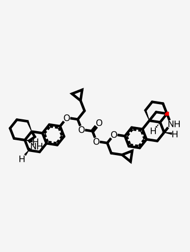 O=C(OC(CC1CC1)Oc1ccc2c(c1)[C@@]13CCCC[C@H]1[C@@H](C2)NCC3)OC(CC1CC1)Oc1ccc2c(c1)[C@@]13CCCC[C@H]1[C@@H](C2)NCC3